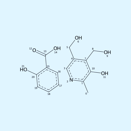 Cc1ncc(CO)c(CO)c1O.O=C(O)c1ccccc1O